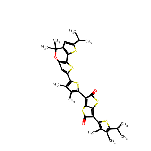 Cc1c(C2=C3SC(=O)C(c4sc(C(C)C)c(C)c4C)=C3SC2=O)sc(-c2cc3c(s2)-c2sc(C(C)C)cc2C(C)(C)O3)c1C